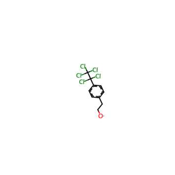 [O]CCc1ccc(C(Cl)(Cl)C(Cl)(Cl)Cl)cc1